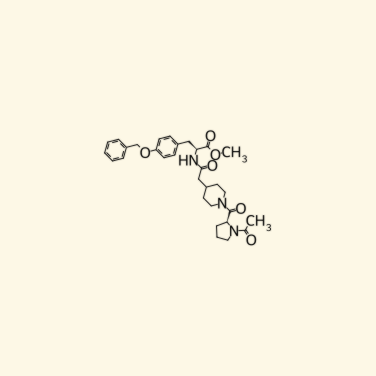 COC(=O)[C@H](Cc1ccc(OCc2ccccc2)cc1)NC(=O)CC1CCN(C(=O)[C@@H]2CCCN2C(C)=O)CC1